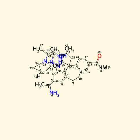 C=C(N)c1ccc2c(c1)CCc1cc(C(=O)NC)ccc1C2(C[C@@H](C)NCC(=C)N1C(C#N)C[C@@H]2CC21)c1nnc(C)[nH]1